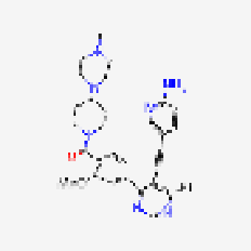 CCc1ncnc(-c2ccc(C(=O)N3CCC(N4CCN(C)CC4)CC3)c(OC)c2)c1C#Cc1ccc(N)nc1